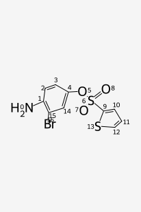 Nc1ccc(OS(=O)(=O)c2cccs2)cc1Br